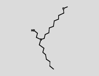 CCCCCCCCN(CCO)CCCCCCCCCOC